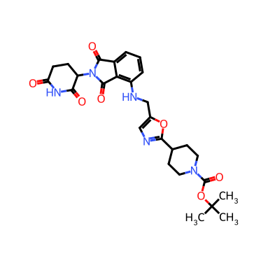 CC(C)(C)OC(=O)N1CCC(c2ncc(CNc3cccc4c3C(=O)N(C3CCC(=O)NC3=O)C4=O)o2)CC1